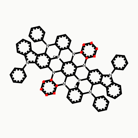 S=P12c3c4cccc3N(c3ccccc3)c3c1c(cc1c3c3ccccc3n1-c1ccccc1)N(c1ccccc1)c1c3c5c(c(c12)N4c1ccccc1)N(c1ccccc1)c1cc2c(c4c1P5(=S)c1c(cccc1N4c1ccccc1)N3c1ccccc1)c1ccccc1n2-c1ccccc1